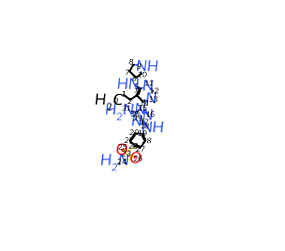 C=CCc1c(NC2CCNC2)ncnc1-n1nc(Nc2ccc(S(N)(=O)=O)cc2)nc1N